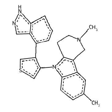 Cc1ccc2c(c1)c1c(n2-c2cscc2-c2cccc3[nH]ncc23)CCN(C)C1